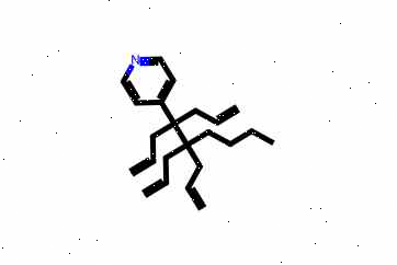 C=CCC(CC=C)(CCCC)C(CC=C)(CC=C)c1ccncc1